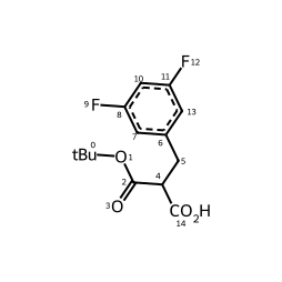 CC(C)(C)OC(=O)C(Cc1cc(F)cc(F)c1)C(=O)O